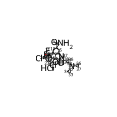 Cl.NC(=O)c1cc2c(c(C(F)(F)F)c1)C(O)(c1ccc(Cl)cc1Cl)C(=O)N2C[C@H]1C[C@@H](N(C2CC2)C2CC2)C1